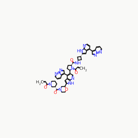 C=CC(=O)N1CCC[C@H](C(=O)N2CCOC(c3cc4c(-c5cnn6ncccc56)c(C5CC[C@@H](C(=O)N[C@H]6C[C@@H](c7cc8c(-c9cnn%10ncccc9%10)ccnc8[nH]7)C6)N5C(=O)C=C)cnc4[nH]3)C2)C1